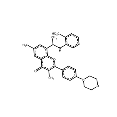 Cc1cc(C(C)Nc2ccccc2C(=O)O)c2oc(-c3ccc(N4CCOCC4)cc3)c(C)c(=O)c2c1